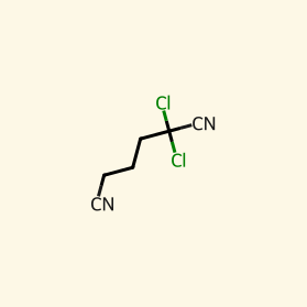 N#CCCCC(Cl)(Cl)C#N